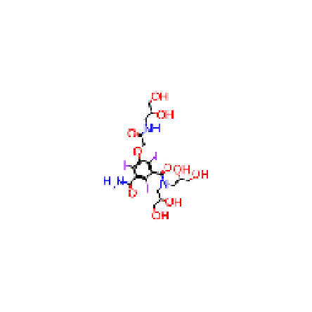 NC(=O)c1c(I)c(OCC(=O)NCC(O)CO)c(I)c(C(=O)N(CC(O)CO)CC(O)CO)c1I